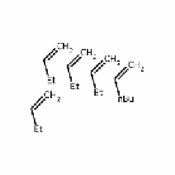 C=CCC.C=CCC.C=CCC.C=CCC.C=CCCCC